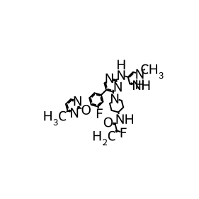 C=C(F)C(=O)NC1CCN(c2nc(N/C(C=N)=C/NC)ncc2-c2ccc(Oc3nccc(C)n3)c(F)c2)CC1